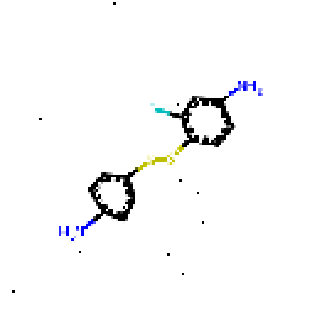 Nc1ccc(SSc2ccc(N)cc2F)cc1